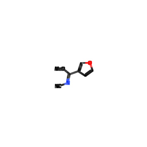 COC(=NC#N)c1ccoc1